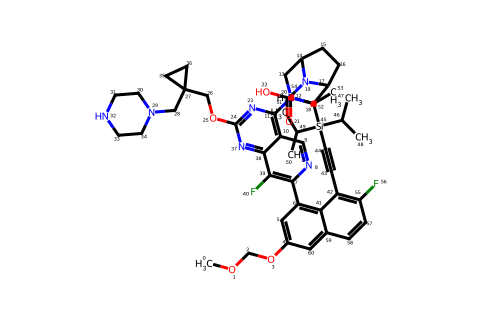 COCOc1cc(-c2ncc3c(N4CC5CCC(C4)N5C(=O)O)nc(OCC4(CN5CCNCC5)CC4)nc3c2F)c2c(C#C[Si](C(C)C)(C(C)C)C(C)C)c(F)ccc2c1